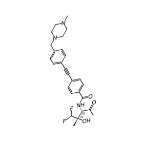 CC(=O)[C@@H](NC(=O)c1ccc(C#Cc2ccc(CN3CCN(C)CC3)cc2)cc1)[C@](C)(O)C(F)F